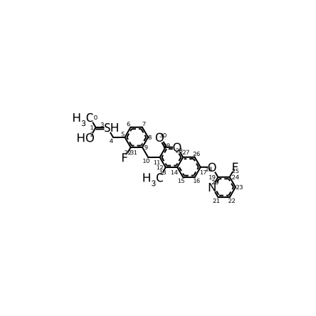 CC(O)=[SH]Cc1cccc(Cc2c(C)c3ccc(Oc4ncccc4F)cc3oc2=O)c1F